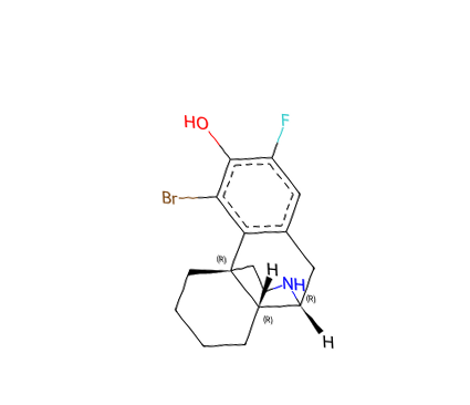 Oc1c(F)cc2c(c1Br)[C@@]13CCCC[C@H]1[C@@H](C2)NCC3